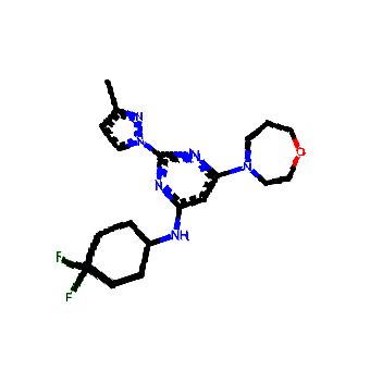 Cc1ccn(-c2nc(NC3CCC(F)(F)CC3)cc(N3CCCOCC3)n2)n1